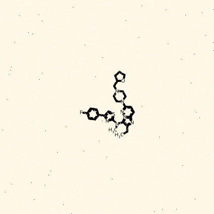 CCc1nc2ccc(N3CCN(CC4CCCO4)CC3)nn2c1N(C)c1nc(-c2ccc(F)cc2)cs1